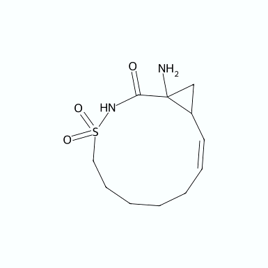 NC12CC1C=CCCCCCS(=O)(=O)NC2=O